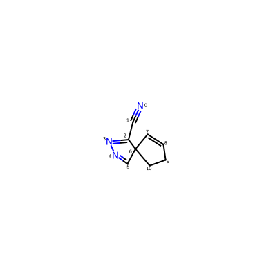 N#CC1=NN=CC12C=CCC2